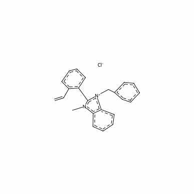 C=Cc1ccccc1-c1n(C)c2ccccc2[n+]1Cc1ccccc1.[Cl-]